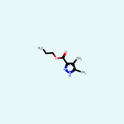 CCCOC(=O)c1n[nH]c(C)c1C